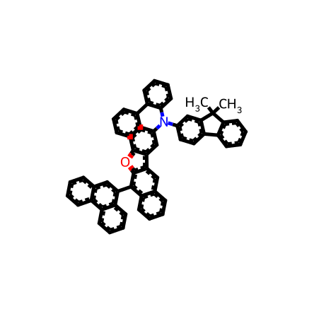 CC1(C)c2ccccc2-c2ccc(N(c3ccc4oc5c(-c6cc7ccccc7c7ccccc67)c6ccccc6cc5c4c3)c3ccccc3-c3ccccc3)cc21